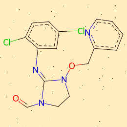 O=CN1CCN(OCc2ccccn2)C1=Nc1cc(Cl)ccc1Cl